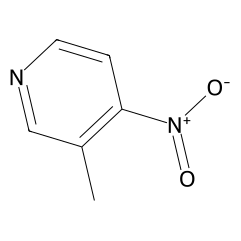 Cc1cnccc1[N+](=O)[O-]